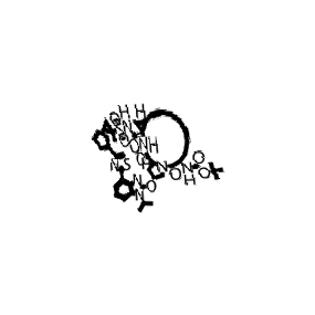 CC(C)n1c(O[C@@H]2C[C@H]3C(=O)N[C@]4(C(=O)NS(=O)(=O)C5(C)CC5)C[C@H]4/C=C\CCCCC[C@H](NC(=O)OC(C)(C)C)C(=O)N3C2)nc2c(-c3nc(C4CCCC4)cs3)cccc21